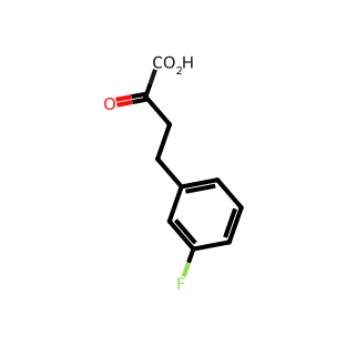 O=C(O)C(=O)CCc1cccc(F)c1